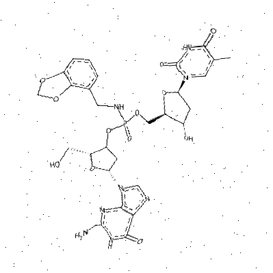 Cc1cn([C@H]2CC(O)[C@@H](COP(=O)(NCc3cccc4c3OCO4)OC3C[C@H](n4cnc5c(=O)[nH]c(N)nc54)O[C@@H]3CO)O2)c(=O)[nH]c1=O